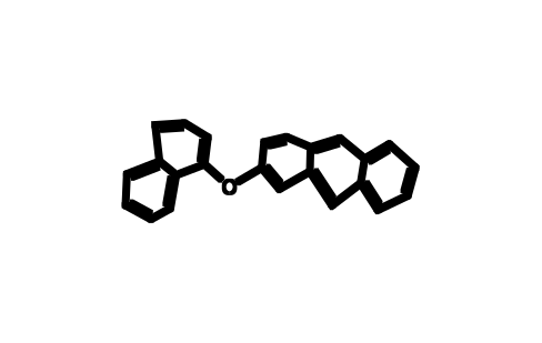 c1ccc2cc3cc(Oc4cccc5ccccc45)ccc3cc2c1